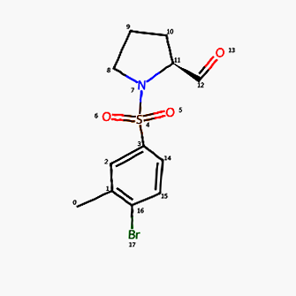 Cc1cc(S(=O)(=O)N2CCC[C@H]2C=O)ccc1Br